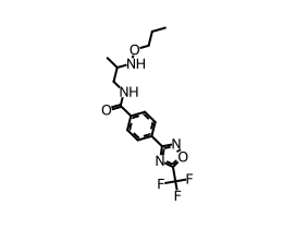 CCCONC(C)CNC(=O)c1ccc(-c2noc(C(F)(F)F)n2)cc1